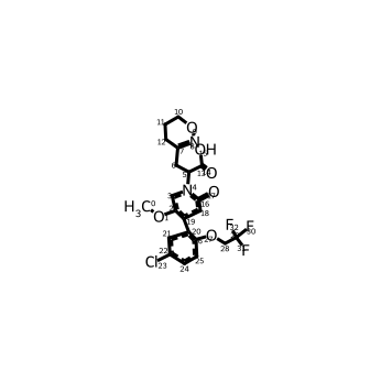 COc1cn(C(CC2=NOCCC2)C(=O)O)c(=O)cc1-c1cc(Cl)ccc1OCC(F)(F)F